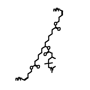 CCC/C=C\CCOC(=O)CCCCCC(CCCCCC(=O)OCC/C=C\CCC)OC(=O)CC(C)CC(C)(C)CN(C)C